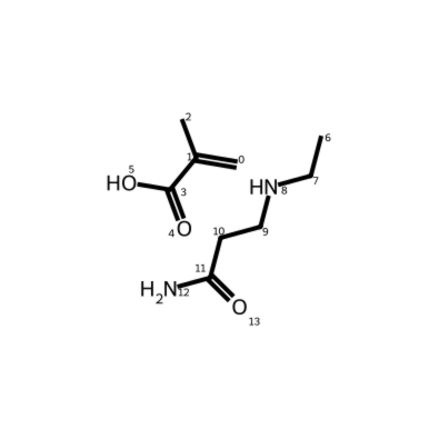 C=C(C)C(=O)O.CCNCCC(N)=O